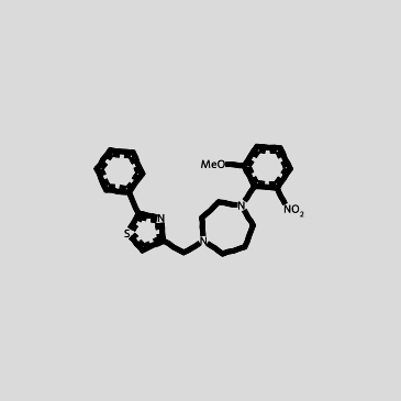 COc1cccc([N+](=O)[O-])c1N1CCCN(Cc2csc(-c3ccccc3)n2)CC1